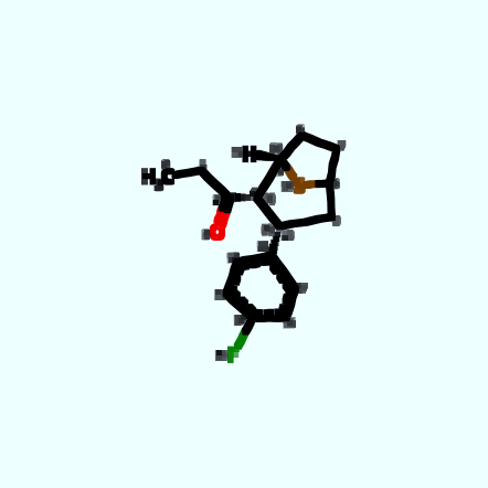 CCC(=O)[C@@H]1[C@@H]2CCC(C[C@@H]1c1ccc(F)cc1)S2